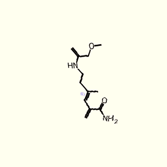 C=C(COC)NCC/C(C)=C/C(=C)C(N)=O